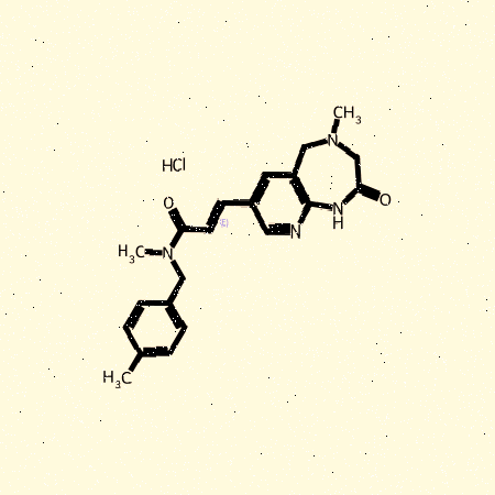 Cc1ccc(CN(C)C(=O)/C=C/c2cnc3c(c2)CN(C)CC(=O)N3)cc1.Cl